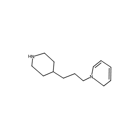 C1=CCN(CCCC2CCNCC2)C=C1